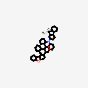 CC1(C)c2ccccc2-c2ccc(N(c3ccccc3)c3ccccc3-c3cccc4c5ccc6oc7ccccc7c6c5c5ccccc5c34)cc21